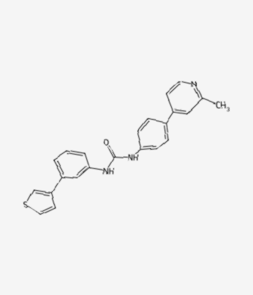 Cc1cc(-c2ccc(NC(=O)Nc3cccc(-c4ccsc4)c3)cc2)ccn1